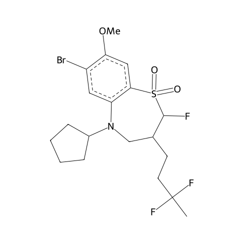 COc1cc2c(cc1Br)N(C1CCCC1)CC(CCC(C)(F)F)C(F)S2(=O)=O